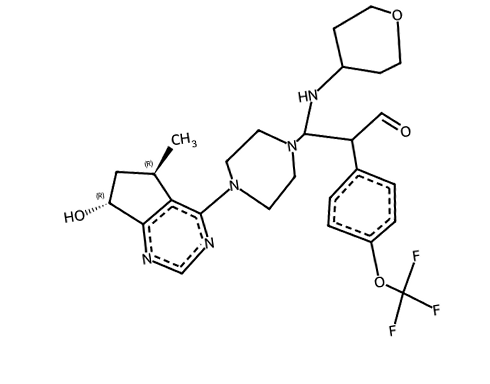 C[C@@H]1C[C@@H](O)c2ncnc(N3CCN(C(NC4CCOCC4)C(C=O)c4ccc(OC(F)(F)F)cc4)CC3)c21